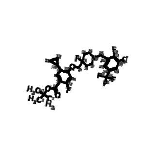 CC(C)(C)OC(=O)c1cc(C2CC2)c(OCC2(F)CCN(Cc3cc(C(F)(F)F)cc(Cl)c3F)CC2)cc1F